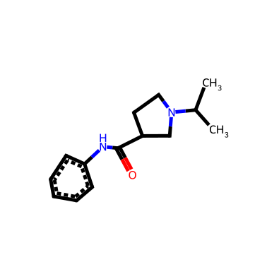 CC(C)N1CCC(C(=O)Nc2ccccc2)C1